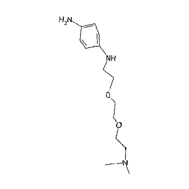 CN(C)CCOCCOCCNc1ccc(N)cc1